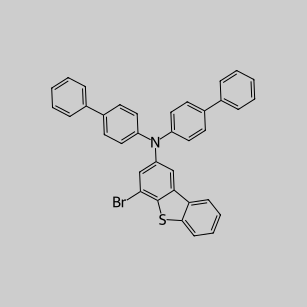 Brc1cc(N(c2ccc(-c3ccccc3)cc2)c2ccc(-c3ccccc3)cc2)cc2c1sc1ccccc12